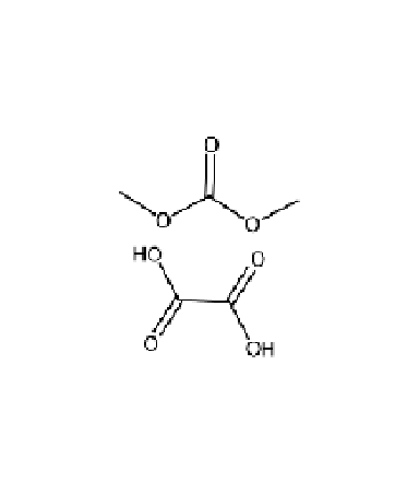 COC(=O)OC.O=C(O)C(=O)O